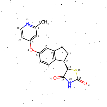 Cc1cc(Oc2ccc3c(c2)CC[C@H]3C2SC(=O)NC2=O)ccn1